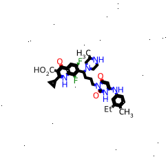 CCc1cc(Nc2cc(=O)n(CCCC(c3c(F)cc4c(=O)c(C(=O)O)c(C5CC5)[nH]c4c3F)N3CCNC(C)C3)c(=O)[nH]2)ccc1C